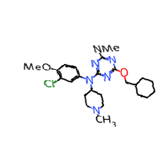 CNc1nc(OCC2CCCCC2)nc(N(c2ccc(OC)c(Cl)c2)C2CCN(C)CC2)n1